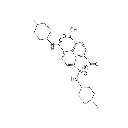 CC1CCC(NC(=O)c2ccc(C(=O)NC3CCC(C)CC3)c3c(C(=O)O)ccc(C(=O)O)c23)CC1